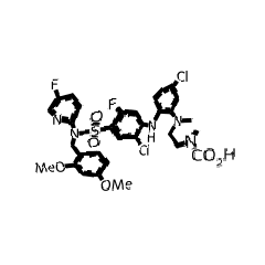 COc1ccc(CN(c2ccc(F)cn2)S(=O)(=O)c2cc(Cl)c(Nc3ccc(Cl)cc3N(C)CCN(C)C(=O)O)cc2F)c(OC)c1